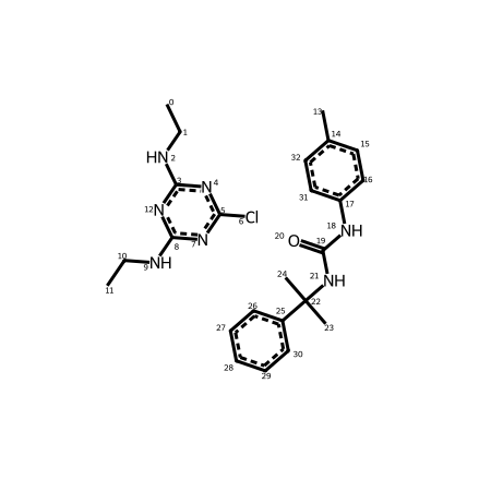 CCNc1nc(Cl)nc(NCC)n1.Cc1ccc(NC(=O)NC(C)(C)c2ccccc2)cc1